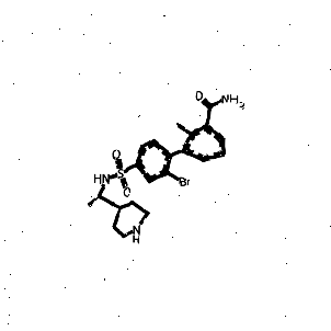 Cc1c(C(N)=O)cccc1-c1ccc(S(=O)(=O)N[C@H](C)C2CCNCC2)cc1Br